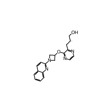 OC[CH]Cc1nccnc1OC1CN(c2ccc3ccccc3n2)C1